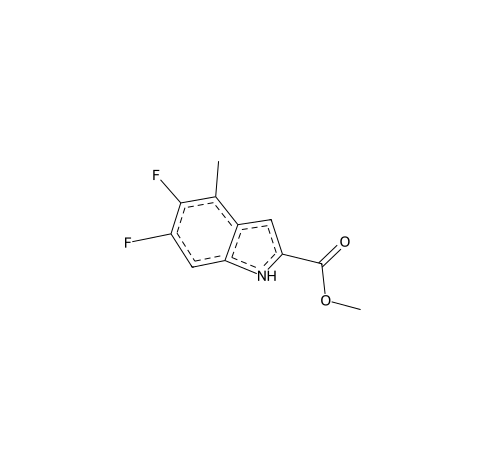 COC(=O)c1cc2c(C)c(F)c(F)cc2[nH]1